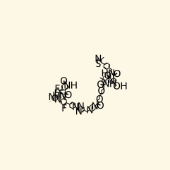 Cc1ncsc1-c1ccc(CNC(=O)[C@@H]2C[C@@H](O)CN2C(=O)C(NC(=O)COCCOCC(=O)N2CCN(Cc3cnc(N4CC=C(c5cc(NC(=O)c6c[nH]c(=O)cc6C(F)(F)F)c(N6C[C@@H](C)N(C)[C@@H](C)C6)cc5F)CC4)nc3)CC2)C(C)(C)C)cc1